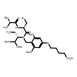 CCOC(=O)CCCCOc1cc(OC)c(CN(C(=O)[C@H](CC(C)C)NC(=O)[C@@H](N)C(C)(C)C)[C@@H](CC(F)(F)F)C(OC)OC)c(OC)c1